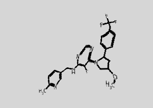 COC1CC(c2ccc(C(F)(F)F)cc2)N(c2ncnc(NCc3ccc(C)nc3)c2F)C1